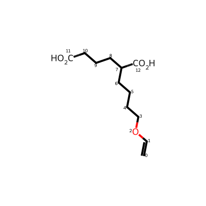 C=COCCCCC(CCCC(=O)O)C(=O)O